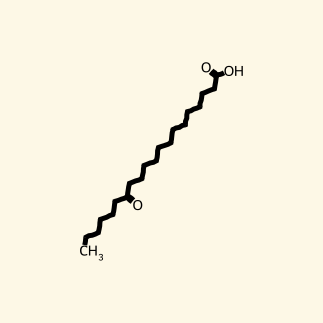 CCCCCCC(=O)CCCCCCCCCCCCC(=O)O